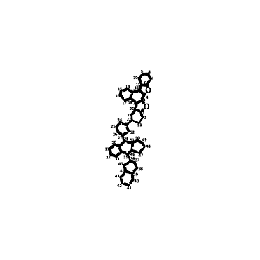 C1=c2oc3c4oc5ccccc5c4c4ccccc4c3c2=CC(c2cccc(-c3c4ccccc4c(-c4ccc5ccccc5c4)c4ccccc34)c2)C1